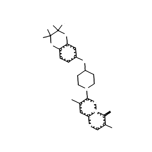 BC1(B)Oc2ccc(OC3CCN(c4nn5c(=O)c(Cl)cnc5cc4C)CC3)cc2OC1(B)B